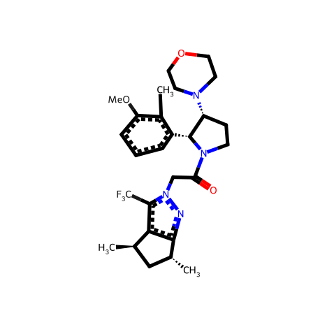 COc1cccc([C@@H]2[C@H](N3CCOCC3)CCN2C(=O)Cn2nc3c(c2C(F)(F)F)[C@H](C)C[C@H]3C)c1C